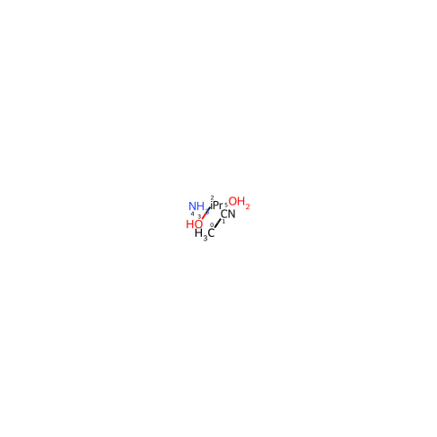 CC#N.CC(C)O.N.O